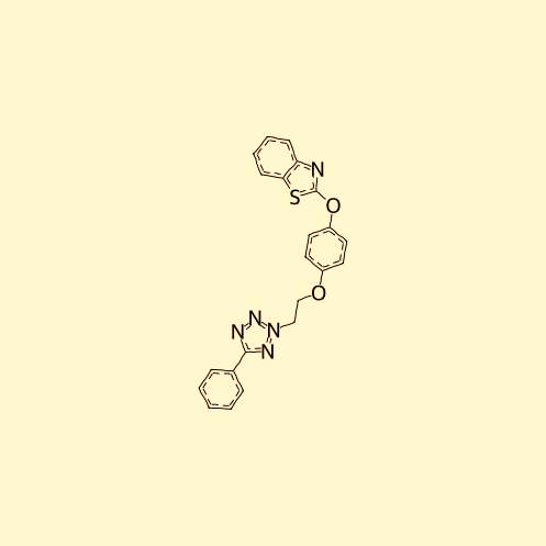 c1ccc(-c2nnn(CCOc3ccc(Oc4nc5ccccc5s4)cc3)n2)cc1